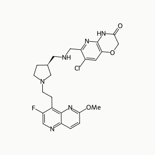 COc1ccc2ncc(F)c(CCN3CC[C@@H](CNCc4nc5c(cc4Cl)OCC(=O)N5)C3)c2n1